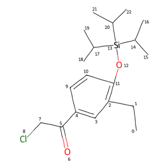 CCc1cc(C(=O)CCl)ccc1O[Si](C(C)C)(C(C)C)C(C)C